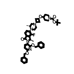 C[C@@H]1CN([C@H]2C[C@H](OC3CCN(C(=O)OC(C)(C)C)CC3)C2)CCN1c1ccc2c(c1F)[C@@H](C)N(c1ccc(OCc3ccccc3)nc1OCc1ccccc1)C2=O